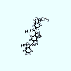 CC(c1ccc2c(cnn2C)c1)c1noc2cc(Nc3n[nH]c4cccnc34)ccc12